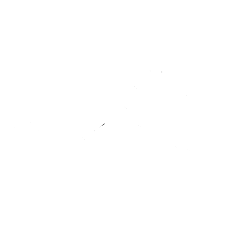 CN(C)C(=O)OC[C@@H]1CC[C@]2(COc3nc(N4CCOC[C@@](C)(O)C4)c4c(n3)sc3c(-c5c(C6CC6)c(C(F)(F)F)cc6c5cnn6C5CCCCO5)nccc34)CCCN12